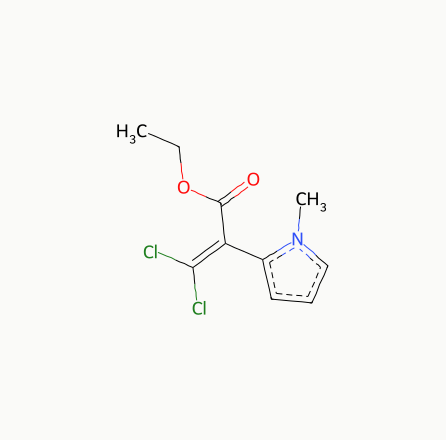 CCOC(=O)C(=C(Cl)Cl)c1cccn1C